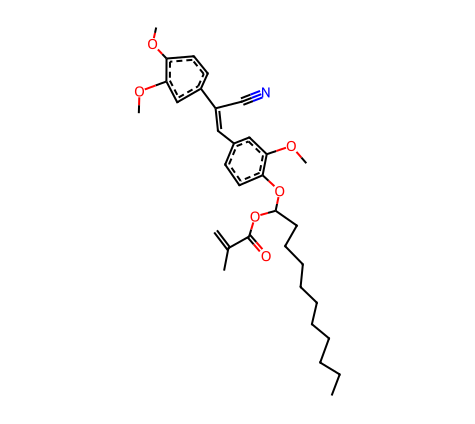 C=C(C)C(=O)OC(CCCCCCCCCC)Oc1ccc(C=C(C#N)c2ccc(OC)c(OC)c2)cc1OC